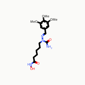 COc1cc(/C=N/N(CCCCCC(=O)NO)C(N)=O)cc(OC)c1OC